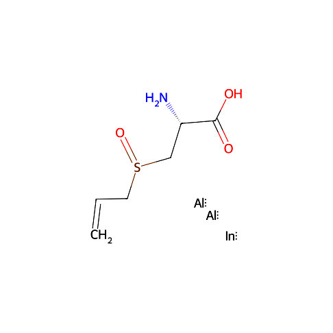 C=CCS(=O)C[C@H](N)C(=O)O.[Al].[Al].[In]